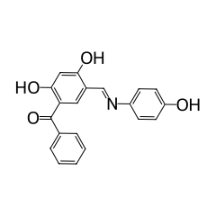 O=C(c1ccccc1)c1cc(C=Nc2ccc(O)cc2)c(O)cc1O